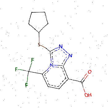 O=C(O)c1ccc(C(F)(F)F)n2c(SC3CCCC3)nnc12